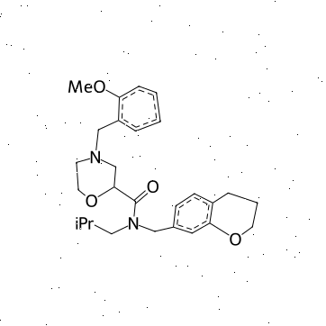 COc1ccccc1CN1CCOC(C(=O)N(Cc2ccc3c(c2)OCCC3)CC(C)C)C1